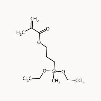 C=C(C)C(=O)OCCC[Si](C)(OCC(Cl)(Cl)Cl)OCC(Cl)(Cl)Cl